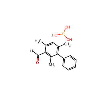 OP(O)O.[Li][C](=O)c1c(C)cc(C)c(-c2ccccc2)c1C